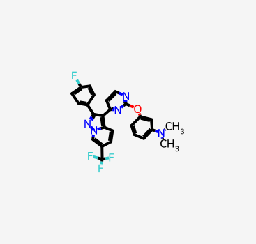 CN(C)c1cccc(Oc2nccc(-c3c(-c4ccc(F)cc4)nn4cc(C(F)(F)F)ccc34)n2)c1